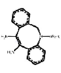 CCCCCN1Cc2ccccc2/C(N)=C(/N)c2ccccc21